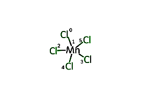 [Cl][Mn]([Cl])([Cl])([Cl])[Cl]